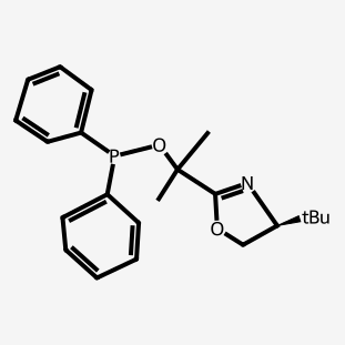 CC(C)(OP(c1ccccc1)c1ccccc1)C1=N[C@@H](C(C)(C)C)CO1